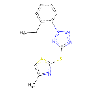 CCc1ccccc1-n1nnc(Sc2nc(C)cs2)n1